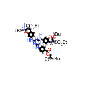 CCCCC(CC)COC(=O)c1ccc(Nc2nc(Nc3ccc(/C=C(/C(=O)OCC)C(=O)OC(C)(C)C)cc3)nc(Nc3ccc(/C=C(\C(=O)NC(C)(C)C)C(=O)OCC)cc3)n2)cc1